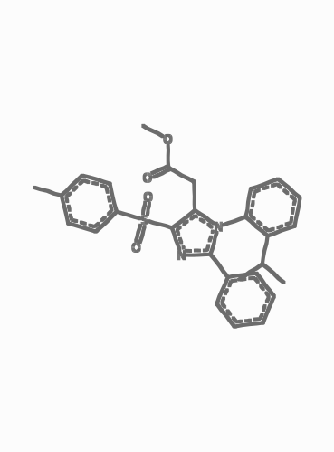 COC(=O)Cc1c(S(=O)(=O)c2ccc(C)cc2)nc(-c2ccccc2)n1-c1ccccc1C(C)C